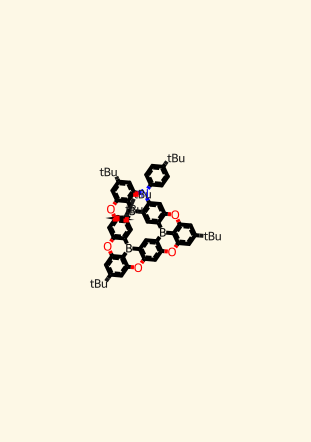 CC(C)(C)c1ccc(N2c3cc4c(cc3B3c5cc(C(C)(C)C)ccc5Oc5cc(C(C)(C)C)cc2c53)B2c3cc5c(cc3Oc3cc(C(C)(C)C)cc(c32)O4)Oc2cc(C(C)(C)C)cc3c2B5c2cc(C(C)(C)C)ccc2O3)cc1